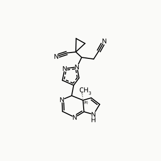 C[C@]12C=CNC1=NC=NC2c1cnn(C(CC#N)C2(C#N)CC2)c1